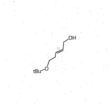 CC(C)(C)OCC/C=C/CO